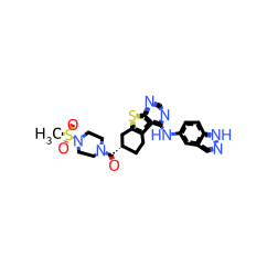 CS(=O)(=O)N1CCN(C(=O)[C@H]2CCc3c(sc4ncnc(Nc5ccc6[nH]ncc6c5)c34)C2)CC1